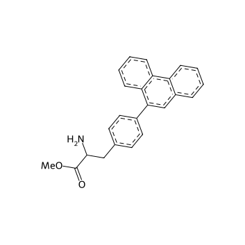 COC(=O)C(N)Cc1ccc(-c2cc3ccccc3c3ccccc23)cc1